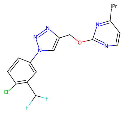 CC(C)c1ccnc(OCc2cn(-c3ccc(Cl)c(C(F)F)c3)nn2)n1